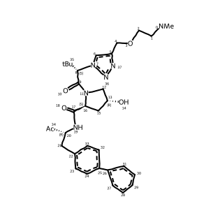 CNCCOCc1cn([C@H](C(=O)N2C[C@H](O)C[C@H]2C(=O)N[C@H](Cc2ccc(-c3ccccc3)cc2)C(C)=O)C(C)(C)C)nn1